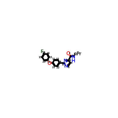 CCCNC(=O)c1ccnc(-c2ccc(Oc3ccc(F)cc3)cc2)n1